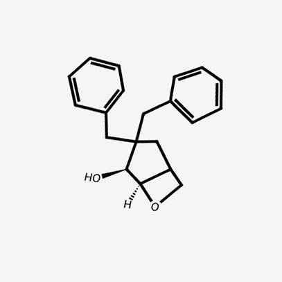 O[C@@H]1[C@@H]2OCC2CC1(Cc1ccccc1)Cc1ccccc1